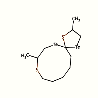 CC1C[Te]C2(CCCCCS1)SC(C)C[Te]2